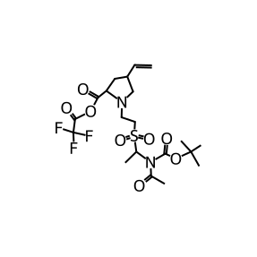 C=CC1CC(C(=O)OC(=O)C(F)(F)F)N(CCS(=O)(=O)C(C)N(C(C)=O)C(=O)OC(C)(C)C)C1